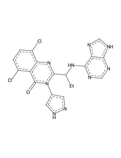 CCC(Nc1ncnc2[nH]cnc12)c1nc2c(Cl)ccc(Cl)c2c(=O)n1-c1cn[nH]c1